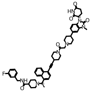 C[C@H](c1ccc(C#CC2CCN(C(=O)CN3CCC(c4ccc5c(c4)n(C)c(=O)n5[C@H]4CCC(=O)NC4=O)CC3)CC2)c2ccccc12)N1CCC(C(=O)NCc2cccc(F)c2)CC1